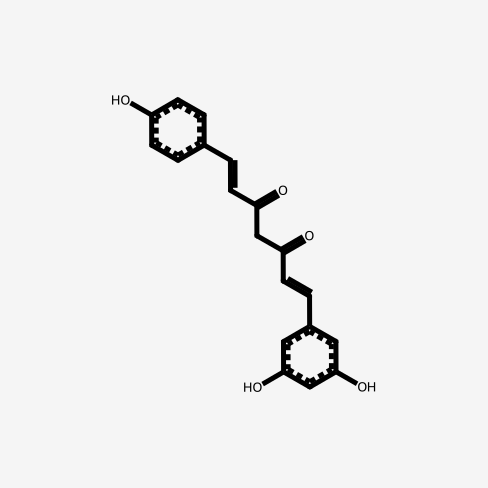 O=C(C=Cc1ccc(O)cc1)CC(=O)C=Cc1cc(O)cc(O)c1